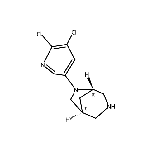 Clc1cc(N2C[C@@H]3CNC[C@@H]2C3)cnc1Cl